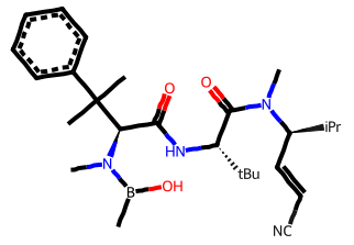 CB(O)N(C)[C@H](C(=O)N[C@H](C(=O)N(C)[C@H](/C=C/C#N)C(C)C)C(C)(C)C)C(C)(C)c1ccccc1